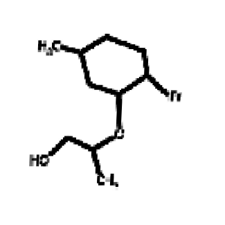 CC1CCC(C(C)C)C(OC(C)CO)C1